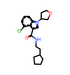 O=C(NCCC1CCCC1)c1cn(C2CCOC2)c2cccc(Cl)c12